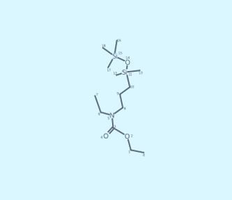 CCOC(=O)N(CC)CCC[Si](C)(C)O[Si](C)(C)C